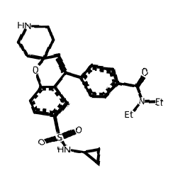 CCN(CC)C(=O)c1ccc(C2=CC3(CCNCC3)Oc3ccc(S(=O)(=O)NC4CC4)cc32)cc1